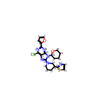 Clc1nc(-c2ccco2)nc2c1nc(N1CCCC(c3nccs3)C1)n2C1CCCCO1